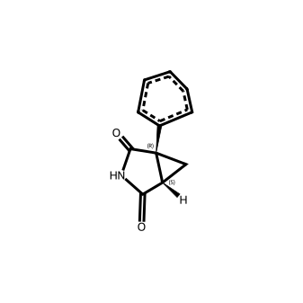 O=C1NC(=O)[C@]2(c3ccccc3)C[C@H]12